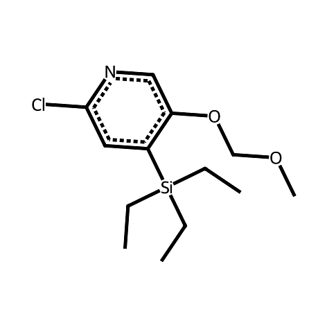 CC[Si](CC)(CC)c1cc(Cl)ncc1OCOC